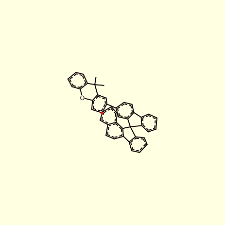 CC1(C)c2ccccc2Oc2ccc(-c3ccc4c(c3)C3(c5ccccc5-4)c4ccccc4-c4ccc5ccccc5c43)cc21